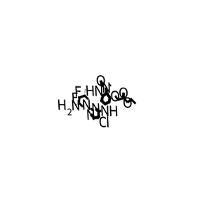 CCOC(=O)COc1cc(Nc2nc(N3C[C@@H](C)C(F)(F)[C@@H](N)C3)ncc2Cl)cc2[nH]c(=O)n(C)c12